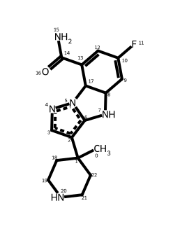 CC1(c2cnn3c2NC2C=C(F)C=C(C(N)=O)C23)CCNCC1